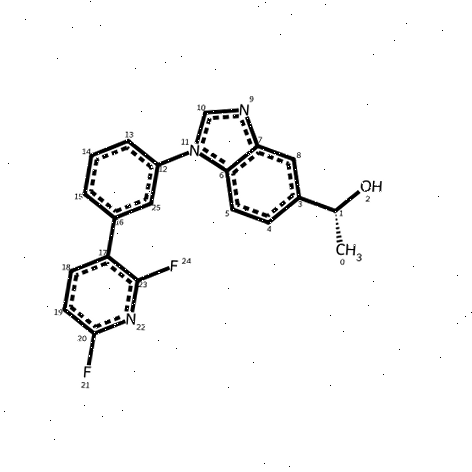 C[C@@H](O)c1ccc2c(c1)ncn2-c1cccc(-c2ccc(F)nc2F)c1